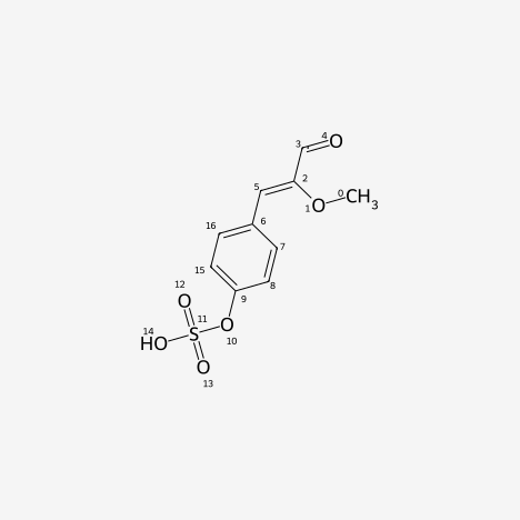 COC([C]=O)=Cc1ccc(OS(=O)(=O)O)cc1